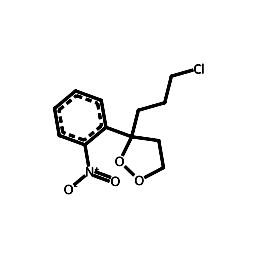 O=[N+]([O-])c1ccccc1C1(CCCCl)CCOO1